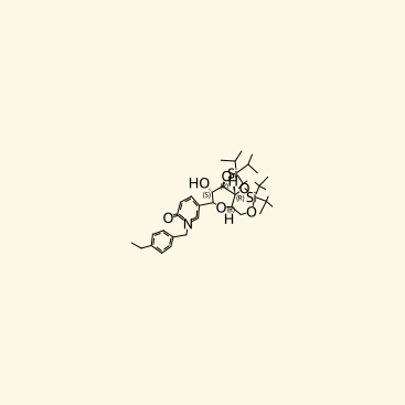 CCc1ccc(Cn2cc(C3O[C@@H]4CO[Si](C(C)(C)C)(C(C)(C)C)O[C@H]4[C@H](O[Si](C(C)C)(C(C)C)C(C)C)[C@H]3O)ccc2=O)cc1